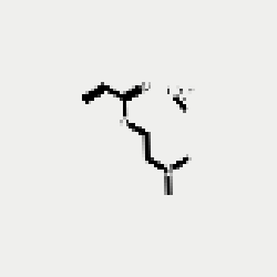 C=CC(=O)OCCN(C)C.CC(=O)O